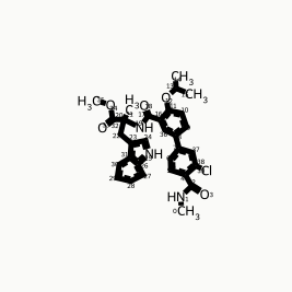 CNC(=O)c1ccc(-c2ccc(OC(C)C)c(C(=O)NC(C)(Cc3c[nH]c4ccccc34)C(=O)OC)c2)cc1Cl